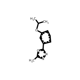 Cc1nnc(-c2cccc(OC(C)C)c2)o1